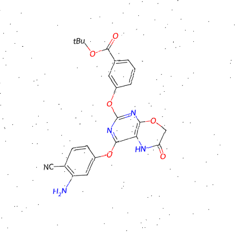 CC(C)(C)OC(=O)c1cccc(Oc2nc3c(c(Oc4ccc(C#N)c(N)c4)n2)NC(=O)CO3)c1